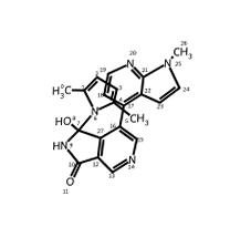 Cc1ccc(C)n1C1(O)NC(=O)c2cncc(-c3ccnc4c3ccn4C)c21